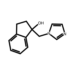 OC1(Cn2ccnc2)CCc2ccccc21